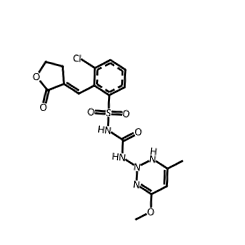 COC1=NN(NC(=O)NS(=O)(=O)c2cccc(Cl)c2C=C2CCOC2=O)NC(C)=C1